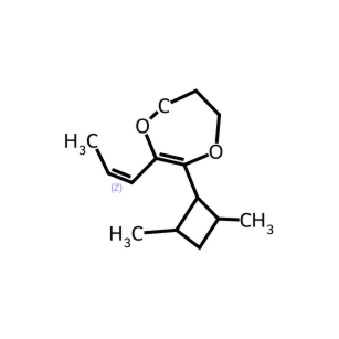 C/C=C\C1=C(C2C(C)CC2C)OCCCO1